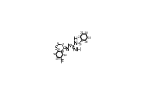 N=C(N=NC1CCSc2ccc(F)cc21)NCc1ccccc1